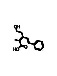 CC(C(=O)O)=C(C=Cc1ccccc1)CCO